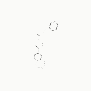 O=C(OCc1ccccc1)N1CC=C(c2ccc3c(c2)CCNCC3)CC1